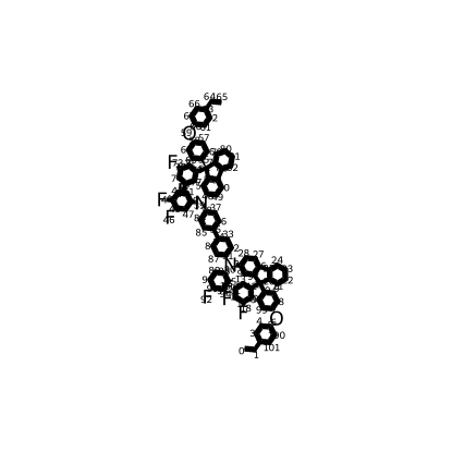 C=Cc1ccc(Oc2ccc(C3(c4cc(F)cc(F)c4)c4ccccc4-c4ccc(N(c5ccc(-c6ccc(N(c7ccc(F)c(F)c7)c7ccc8c(c7)[C@](c7ccc(Oc9ccc(C=C)cc9)cc7)(c7cc(F)cc(F)c7)c7ccccc7-8)cc6)cc5)c5ccc(F)c(F)c5)cc43)cc2)cc1